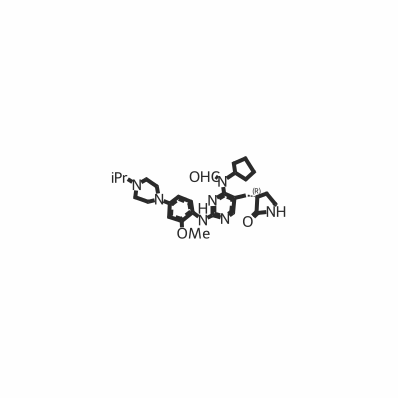 COc1cc(N2CCN(C(C)C)CC2)ccc1Nc1ncc(C[C@@H]2CCNC2=O)c(N(C=O)C2CCCC2)n1